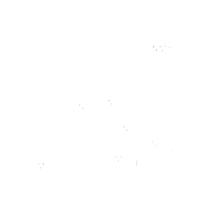 CNS(=O)(=O)c1ccc(N(C)C)c(Nc2ncnc3cc(OC)cc(OC)c23)c1